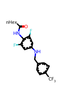 CCCCCCC(=O)Nc1c(F)cc(NCc2ccc(C(F)(F)F)cc2)cc1F